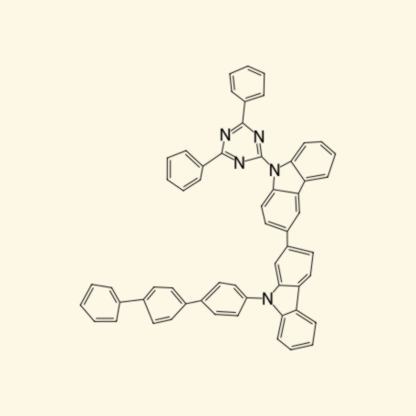 c1ccc(-c2ccc(-c3ccc(-n4c5ccccc5c5ccc(-c6ccc7c(c6)c6ccccc6n7-c6nc(-c7ccccc7)nc(-c7ccccc7)n6)cc54)cc3)cc2)cc1